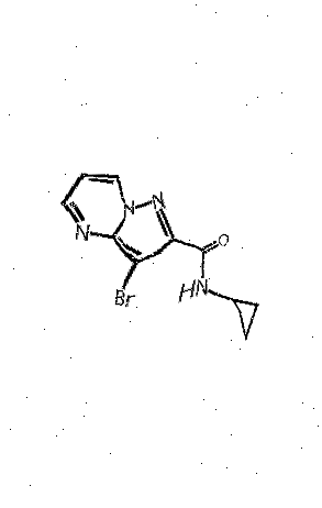 O=C(NC1CC1)c1nn2cccnc2c1Br